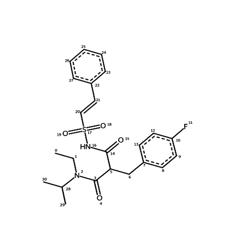 CCN(C(=O)C(Cc1ccc(F)cc1)C(=O)NS(=O)(=O)C=Cc1ccccc1)C(C)C